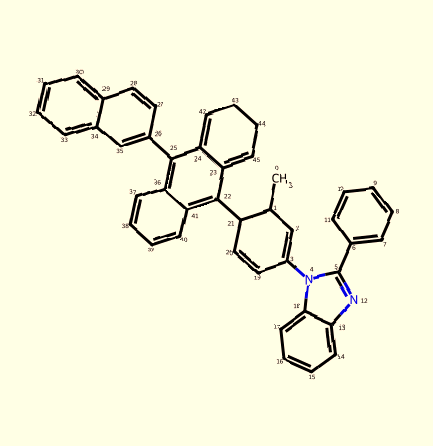 CC1C=C(n2c(-c3ccccc3)nc3ccccc32)C=CC1c1c2c(c(-c3ccc4ccccc4c3)c3ccccc13)=CCCC=2